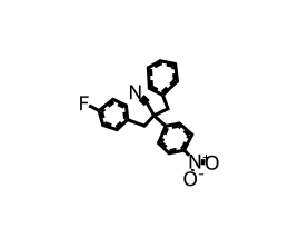 N#CC(Cc1ccccc1)(Cc1ccc(F)cc1)c1ccc([N+](=O)[O-])cc1